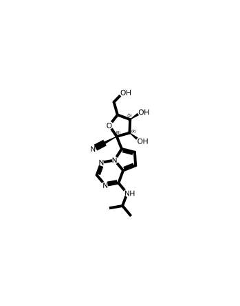 CC(C)Nc1ncnn2c([C@]3(C#N)OC(CO)[C@@H](O)[C@H]3O)ccc12